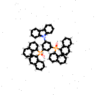 O=P(c1cc(-n2c3ccccc3c3ccccc32)cc(P(=O)(c2cccc3ccccc23)c2cccc3ccccc23)c1)(c1cccc2ccccc12)c1cccc2ccccc12